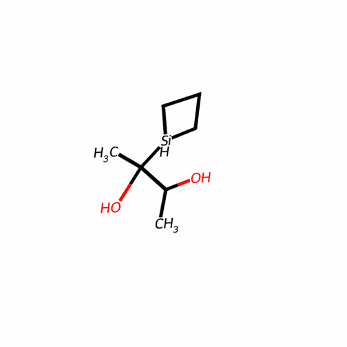 CC(O)C(C)(O)[SiH]1CCC1